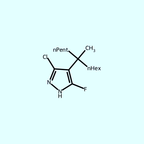 CCCCCCC(C)(CCCCC)c1c(Cl)n[nH]c1F